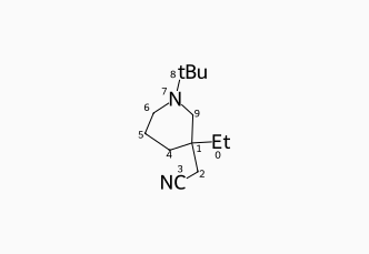 CCC1(CC#N)CCCN(C(C)(C)C)C1